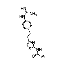 CC(C)C(=O)Nc1nc(CCc2ccc(NC(=N)N)cc2)cs1